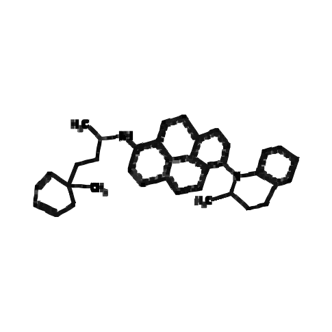 CC(CCC1(C)C=CC=CC1)Nc1ccc2ccc3c(N4c5ccccc5CCC4C)ccc4ccc1c2c43